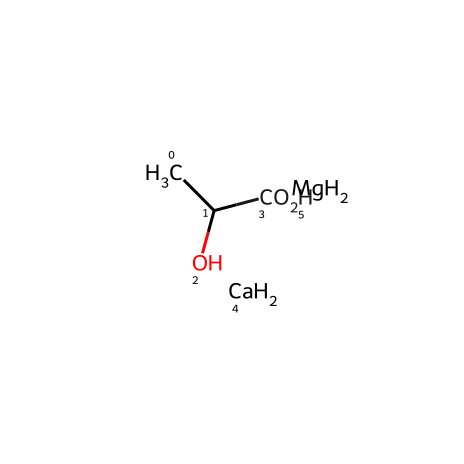 CC(O)C(=O)O.[CaH2].[MgH2]